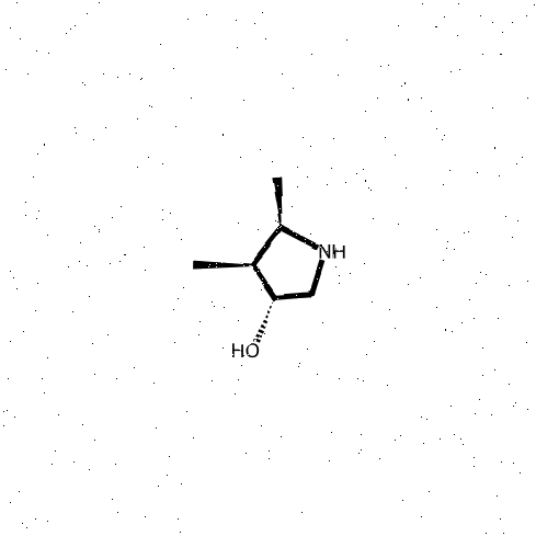 C[C@@H]1[C@@H](O)CN[C@@H]1C